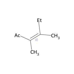 CC/C(C)=C(/C)C(C)=O